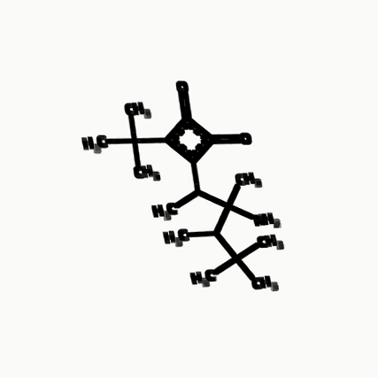 CC(c1c(C(C)(C)C)c(=O)c1=O)C(C)(N)C(C)C(C)(C)C